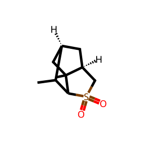 CC1C2C3(C)C[C@H]1C[C@H]3CS2(=O)=O